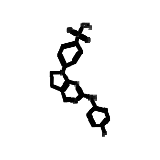 CS(=O)(=O)c1ccc(N2CCc3cnc(Nc4ccc(F)cc4)nc32)cc1